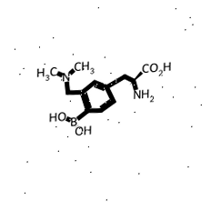 CN(C)Cc1cc(C[C@H](N)C(=O)O)ccc1B(O)O